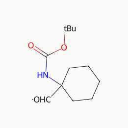 CC(C)(C)OC(=O)NC1([C]=O)CCCCC1